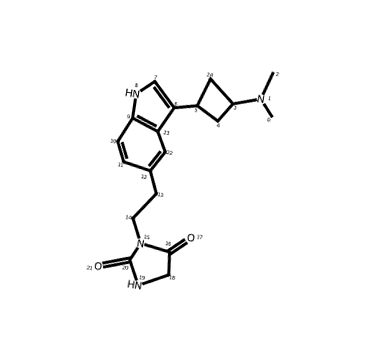 CN(C)C1CC(c2c[nH]c3ccc(CCN4C(=O)CNC4=O)cc23)C1